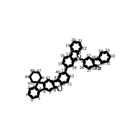 c1ccc2c(c1)-c1cc3oc4ccc(-c5ccc6c7ccccc7n(-c7ccc8sc9ccccc9c8c7)c6c5)cc4c3cc1C21CCCCC1